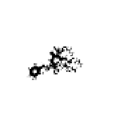 CN(CC1c2c(cnn2C)C2CN1C(=O)N2OCc1ccccc1)C(=O)O